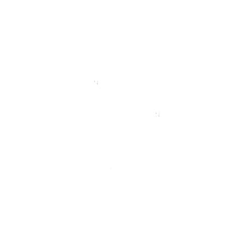 O=Cc1ccc(-c2cnccc2Oc2ccc([N+](=O)[O-])cc2F)cc1